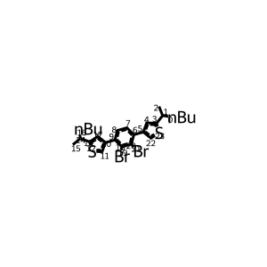 CCCCC(C)c1cc(-c2ccc(-c3csc(C(C)CCCC)c3)c(Br)c2Br)cs1